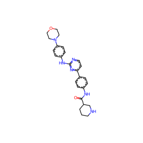 O=C(Nc1ccc(-c2ccnc(Nc3ccc(N4CCOCC4)cc3)n2)cc1)C1CCCNC1